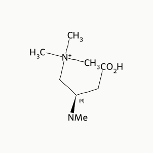 CN[C@H](CC(=O)O)C[N+](C)(C)C